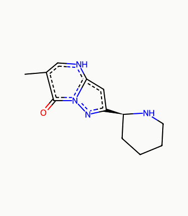 Cc1c[nH]c2cc([C@@H]3CCCCN3)nn2c1=O